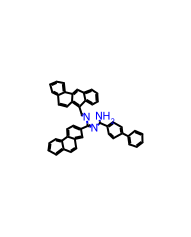 NC(/N=C(\N=C\c1c2ccccc2cc2c1ccc1ccccc12)c1ccc2c(ccc3ccccc32)c1)c1ccc(-c2ccccc2)cc1